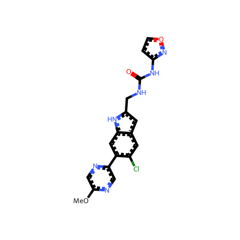 COc1cnc(-c2cc3[nH]c(CNC(=O)Nc4ccon4)cc3cc2Cl)cn1